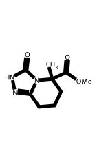 COC(=O)C1(C)CCCc2n[nH]c(=O)n21